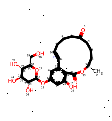 C[C@H]1CCCC(=O)CCC/C=C/c2cc(OC3O[C@H](CO)[C@@H](O)[C@H](O)[C@H]3O)cc(O)c2C(=O)O1